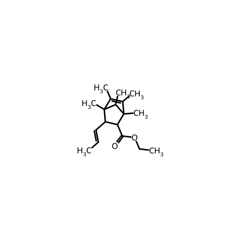 C/C=C/C1C(C(=O)OCC)C2(C)C(C)=C(C)C1(C)C2C